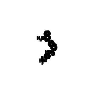 COc1ccccc1CC(=O)N1CCC2(CC1)CN(C(=O)Nc1ccc(OC(F)(F)F)cc1)CCO2